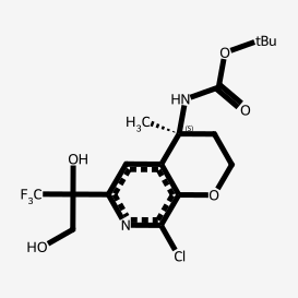 CC(C)(C)OC(=O)N[C@@]1(C)CCOc2c1cc(C(O)(CO)C(F)(F)F)nc2Cl